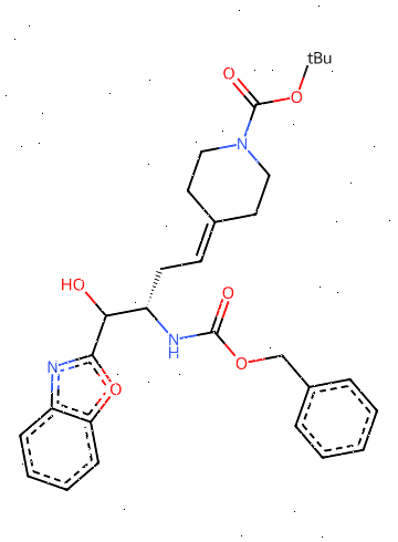 CC(C)(C)OC(=O)N1CCC(=CC[C@H](NC(=O)OCc2ccccc2)C(O)c2nc3ccccc3o2)CC1